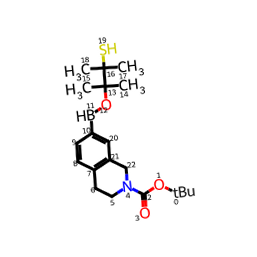 CC(C)(C)OC(=O)N1CCc2ccc(BOC(C)(C)C(C)(C)S)cc2C1